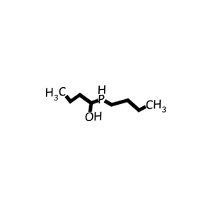 CCCCPC(O)CCC